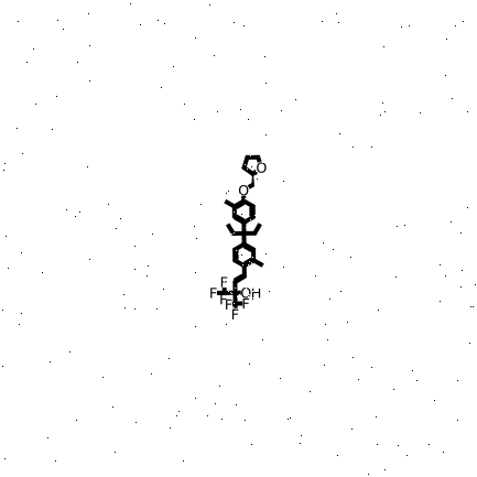 CCC(CC)(c1ccc(/C=C/C(O)(C(F)(F)F)C(F)(F)F)c(C)c1)c1ccc(OC[C@H]2CCCO2)c(C)c1